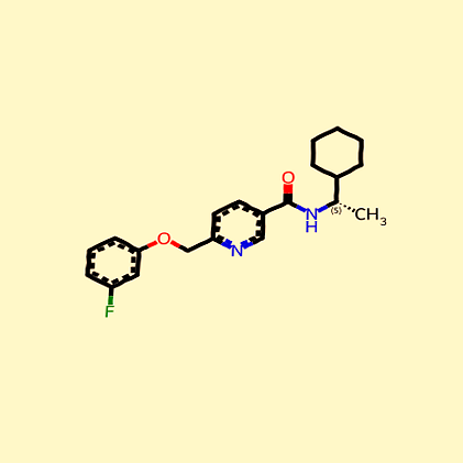 C[C@H](NC(=O)c1ccc(COc2cccc(F)c2)nc1)C1CCCCC1